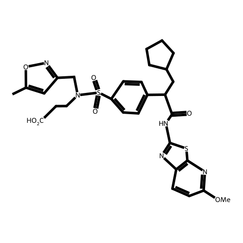 COc1ccc2nc(NC(=O)C(CC3CCCC3)c3ccc(S(=O)(=O)N(CCC(=O)O)Cc4cc(C)on4)cc3)sc2n1